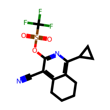 N#Cc1c(OS(=O)(=O)C(F)(F)F)nc(C2CC2)c2c1CCCC2